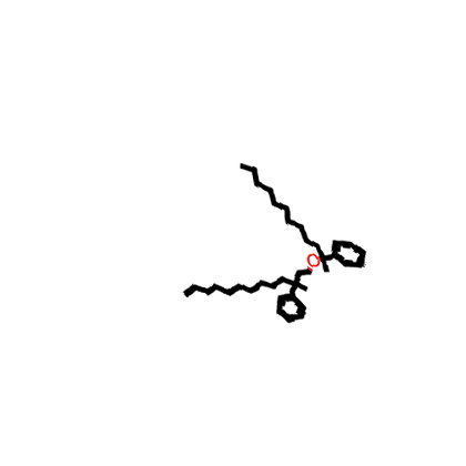 CCCCCCCCCCC(C)(CCOC(C)(CCCCCCCCCC)c1ccccc1)c1ccccc1